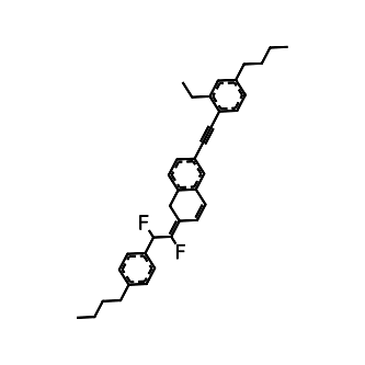 CCCCc1ccc(C(F)C(F)=C2C=Cc3cc(C#Cc4ccc(CCCC)cc4CC)ccc3C2)cc1